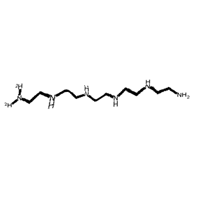 [2H]N([2H])CCNCCNCCNCCNCCN